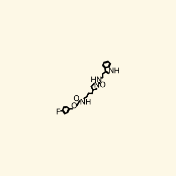 O=C(COCc1ccc(F)cc1)NCCCCC1CCN(C(=O)NCCc2c[nH]c3ccccc23)C1